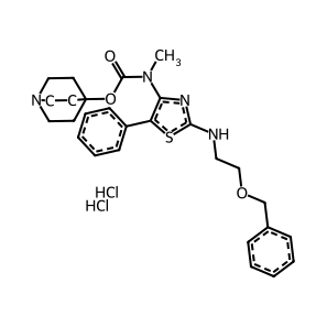 CN(C(=O)OC12CCN(CC1)CC2)c1nc(NCCOCc2ccccc2)sc1-c1ccccc1.Cl.Cl